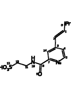 CC(C)/C=C/c1ccnc(C(=O)NCCS(=O)(=O)O)c1